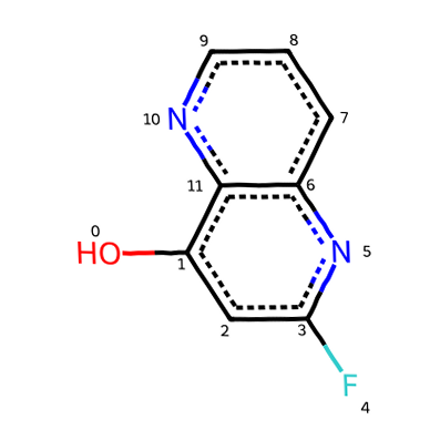 Oc1cc(F)nc2cccnc12